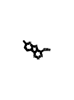 CSc1nnnc2c1sc1nc(C)ccc12